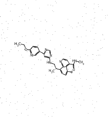 CCOc1ccc(-c2cc(NC[C@@H](C)c3ccc(F)c4c(C(=O)NC)ccnc34)ncn2)cn1